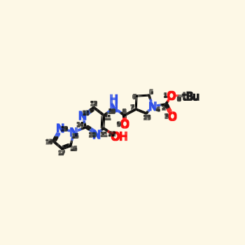 CC(C)(C)OC(=O)N1CCC(C(=O)Nc2cnc(-n3cccn3)nc2O)C1